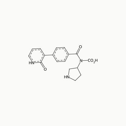 O=C(O)N(C(=O)c1ccc(-c2ccc[nH]c2=O)cc1)C1CCNC1